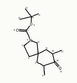 CC1CC2(CCN(C(=O)OC(C)(C)C)C2)CC(C)C1=O